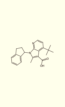 Cc1c(C(=O)O)c2c(C(C)(C)C)ccnc2n1C1CCc2ccccc21